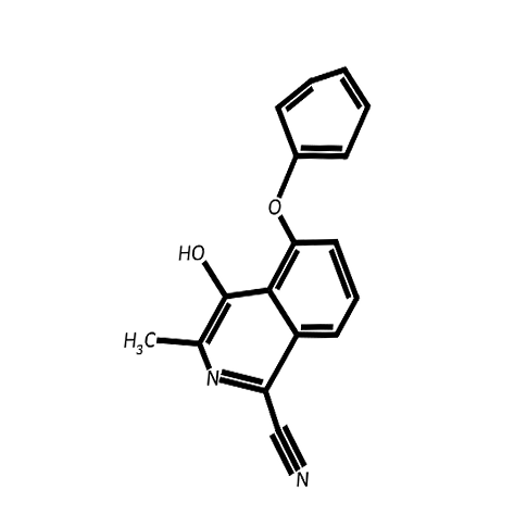 Cc1nc(C#N)c2cccc(Oc3ccccc3)c2c1O